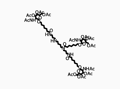 CC(=O)NC1C(OC(C)=O)[C@@H](OC(C)=O)C(COC(C)=O)O[C@H]1OCCCCCCC(=O)NCCCNCCCCN(CCCNC(=O)CCCCCCO[C@@H]1OC(COC(C)=O)[C@H](OC(C)=O)C(OC(C)=O)C1NC(C)=O)C(=O)CCCCCCO[C@@H]1OC(COC(C)=O)[C@H](OC(C)=O)C(OC(C)=O)[C@@H]1NC(C)=O